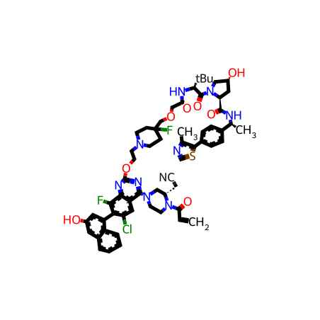 C=CC(=O)N1CCN(c2nc(OCCN3CCC(F)(COCC(=O)N[C@H](C(=O)N4C[C@H](O)C[C@H]4C(=O)N[C@@H](C)c4ccc(-c5scnc5C)cc4)C(C)(C)C)CC3)nc3c(F)c(-c4cc(O)cc5ccccc45)c(Cl)cc23)C[C@@H]1CC#N